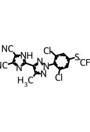 Cc1nn(-c2c(Cl)cc(SC(F)(F)F)cc2Cl)nc1-c1nc(C#N)c(C#N)[nH]1